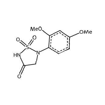 COc1ccc(N2CC(=O)NS2(=O)=O)c(OC)c1